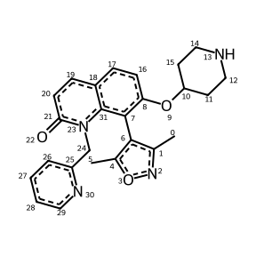 Cc1noc(C)c1-c1c(OC2CCNCC2)ccc2ccc(=O)n(Cc3ccccn3)c12